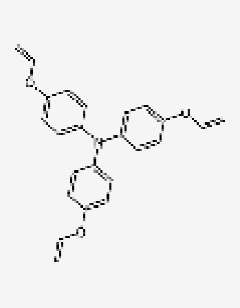 C=COc1ccc(N(c2ccc(OC=C)cc2)c2ccc(OC=C)cc2)cc1